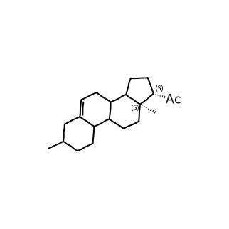 CC(=O)[C@H]1CCC2C3CC=C4CC(C)CCC4C3CC[C@@]21C